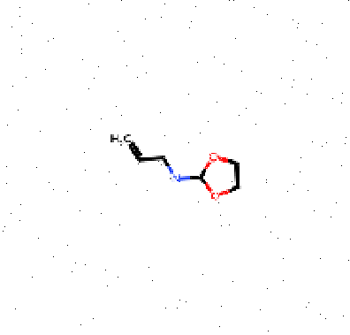 C=CC[N]C1OCCO1